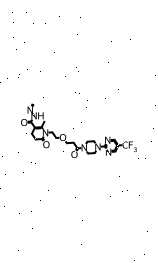 C=NNC(=O)C1=C(C)N(CCOCCC(=O)N2CCN(c3ncc(C(F)(F)F)cn3)CC2)C(=O)CC1